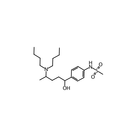 CCCCN(CCCC)C(C)CCC(O)c1ccc(NS(C)(=O)=O)cc1